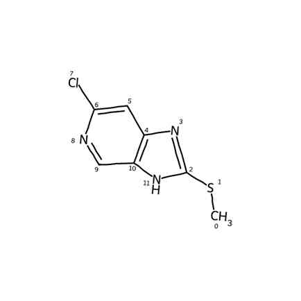 CSc1nc2cc(Cl)ncc2[nH]1